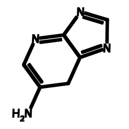 NC1=CN=C2N=CN=C2C1